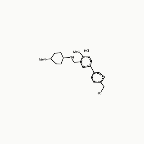 CNC1CCC(NCc2cc(-c3ccc(CO)cc3)ccc2OC)CC1.Cl